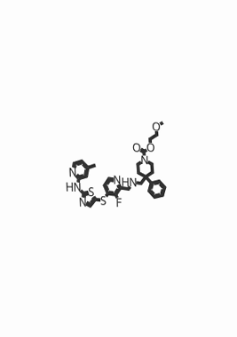 COCCOC(=O)N1CCC(CNCc2nccc(Sc3cnc(Nc4cc(C)ccn4)s3)c2F)(c2ccccc2)CC1